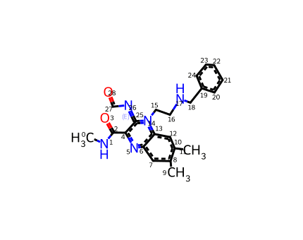 CNC(=O)c1nc2cc(C)c(C)cc2n(CCNCc2ccccc2)/c1=N/C=O